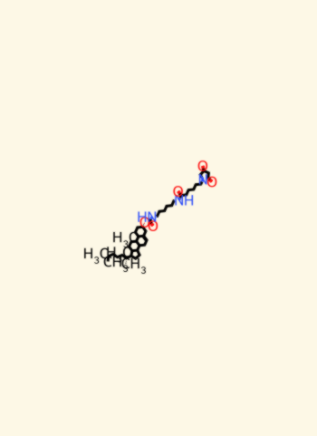 CC(C)CCC[C@@H](C)C1CCC2C3CC=C4C[C@@H](OC(=O)NCCCCCCNC(=O)CCCCCN5CC(=O)CC5=O)CC[C@]4(C)C3CC[C@@]21C